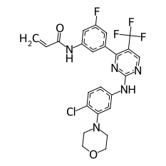 C=CC(=O)Nc1cc(F)cc(-c2nc(Nc3ccc(Cl)c(N4CCOCC4)c3)ncc2C(F)(F)F)c1